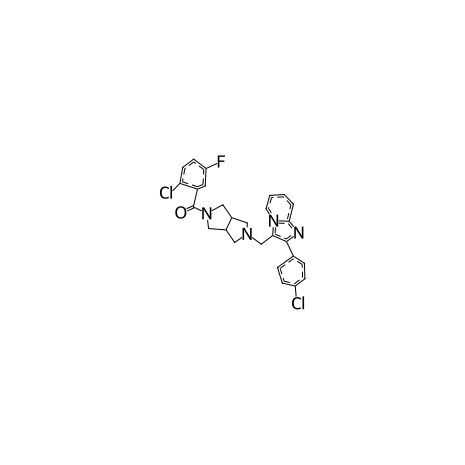 O=C(c1cc(F)ccc1Cl)N1CC2CN(Cc3c(-c4ccc(Cl)cc4)nc4ccccn34)CC2C1